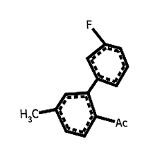 CC(=O)c1ccc(C)cc1-c1cccc(F)c1